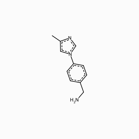 Cc1cn(-c2ccc(CN)cc2)cn1